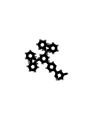 Cc1cncc(-c2ccc(-c3cc(-n4c5ccccc5c5ccccc54)cc(-n4c5ccccc5c5ccccc54)c3)cc2)c1